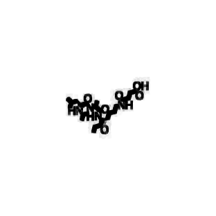 CCC(=O)[C@H](CCCCNC(=O)CCC(=O)O)NC(=O)C(C)NC(=O)[C@H](CC(C)C)NC(C)C